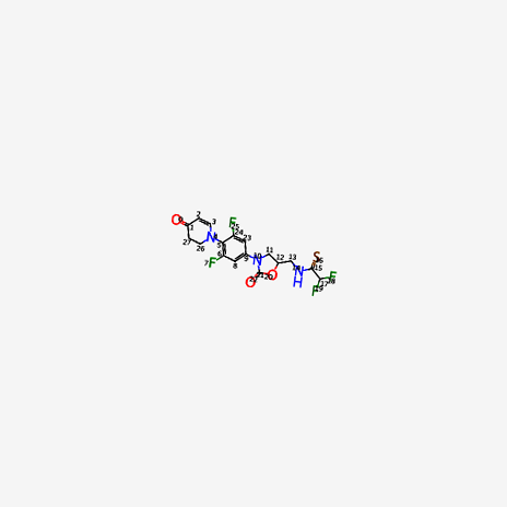 O=C1C=CN(c2c(F)cc(N3CC(CNC(=S)C(F)F)OC3=O)cc2F)CC1